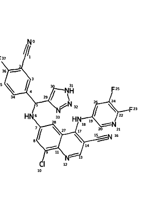 N#Cc1cc(C(Nc2cc(Cl)c3ncc(C#N)c(Nc4cnc(F)c(F)c4)c3c2)c2c[nH]nn2)ccc1F